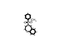 CO[P@@](=O)(c1ccccc1)N1CCSc2ccccc2C1